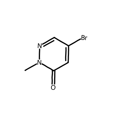 Cn1ncc(Br)cc1=O